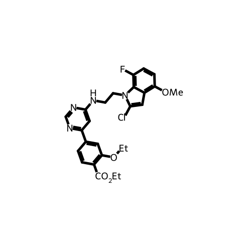 CCOC(=O)c1ccc(-c2cc(NCCn3c(Cl)cc4c(OC)ccc(F)c43)ncn2)cc1OCC